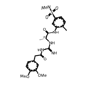 CNS(=O)(=O)c1ccc(C)c(NC(=O)[C@@H](C)NC(=N)NC(=O)Cc2ccc(OC)c(OC)c2)c1